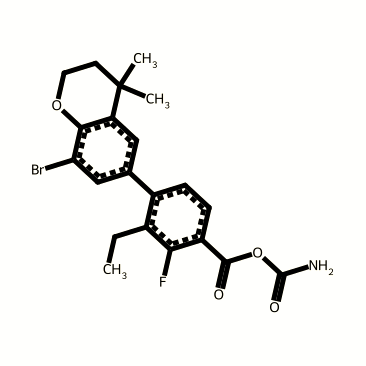 CCc1c(-c2cc(Br)c3c(c2)C(C)(C)CCO3)ccc(C(=O)OC(N)=O)c1F